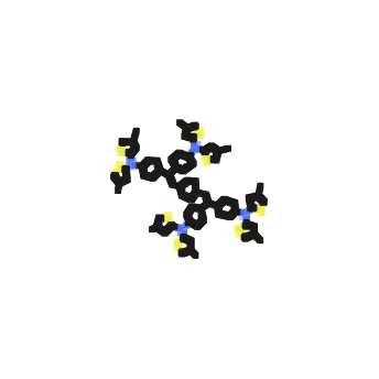 Cc1csc(N(c2ccc(C(=Cc3ccc(C=C(c4ccc(N(c5cc(C)cs5)c5cc(C)cs5)cc4)c4ccc(N(c5cc(C)cs5)c5cc(C)cs5)cc4)cc3)c3ccc(N(c4cc(C)cs4)c4cc(C)cs4)cc3)cc2)c2cc(C)cs2)c1